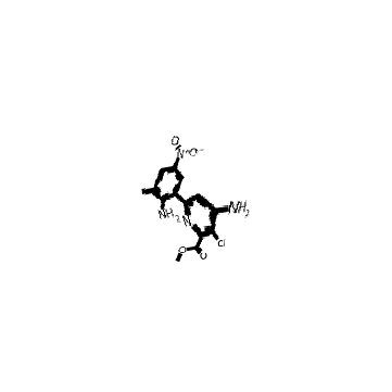 COC(=O)c1nc(-c2cc([N+](=O)[O-])cc(C)c2N)cc(N)c1Cl